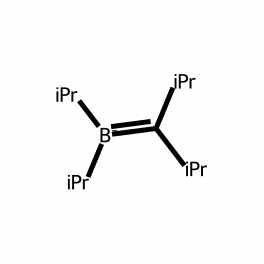 CC(C)[B-](=C(C(C)C)C(C)C)C(C)C